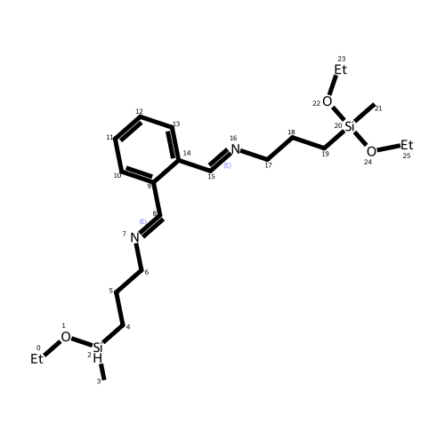 CCO[SiH](C)CCC/N=C/c1ccccc1/C=N/CCC[Si](C)(OCC)OCC